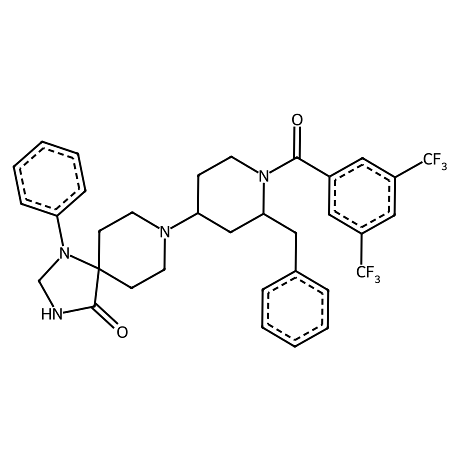 O=C(c1cc(C(F)(F)F)cc(C(F)(F)F)c1)N1CCC(N2CCC3(CC2)C(=O)NCN3c2ccccc2)CC1Cc1ccccc1